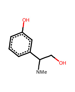 CNC(CO)c1cccc(O)c1